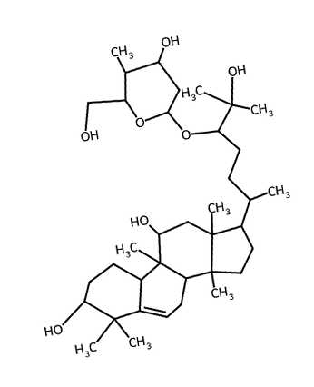 CC(CCC(OC1CC(O)C(C)C(CO)O1)C(C)(C)O)C1CCC2(C)C3CC=C4C(CCC(O)C4(C)C)C3(C)C(O)CC12C